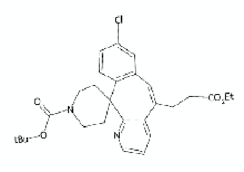 CCOC(=O)CCC1=Cc2cc(Cl)ccc2C2(CCN(C(=O)OC(C)(C)C)CC2)c2ncccc21